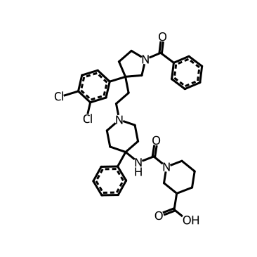 O=C(O)C1CCCN(C(=O)NC2(c3ccccc3)CCN(CCC3(c4ccc(Cl)c(Cl)c4)CCN(C(=O)c4ccccc4)C3)CC2)C1